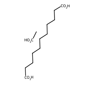 CC(=O)O.O=C(O)CCCCCCCCCC(=O)O